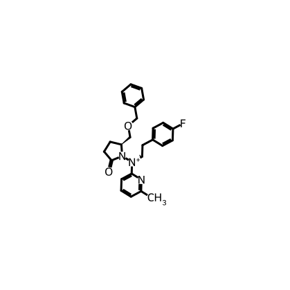 Cc1cccc([N+](=CCc2ccc(F)cc2)N2C(=O)CC[C@H]2COCc2ccccc2)n1